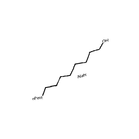 CCCCCCCCCCCCCO.[NaH]